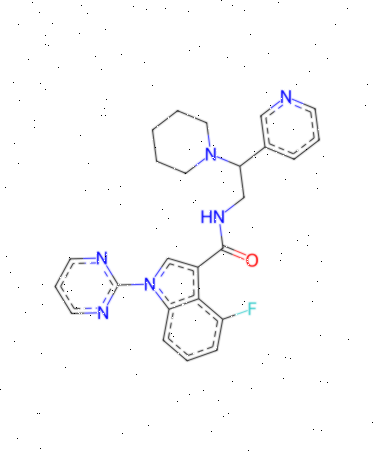 O=C(NCC(c1cccnc1)N1CCCCC1)c1cn(-c2ncccn2)c2cccc(F)c12